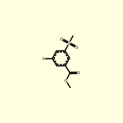 COC(=O)c1cc(F)cc(S(C)(=O)=O)c1